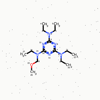 CCN(CC)c1nc(N(CC)CC)nc(N(CC)COC)n1